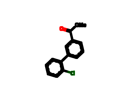 COC(=O)c1cccc(-c2ccccc2Cl)c1